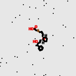 CC(c1ccccc1)C(O)/C=C/[C@@H]1[C@H](C/C=C\CSCC(=O)O)[C@@H]2CC[C@H]1O2